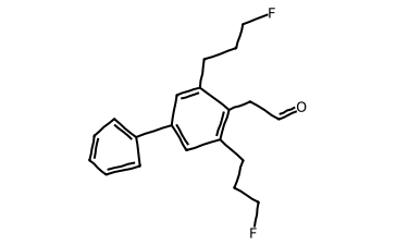 O=CCc1c(CCCF)cc(-c2ccccc2)cc1CCCF